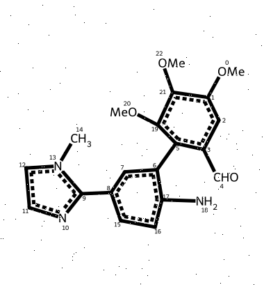 COc1cc(C=O)c(-c2cc(-c3nccn3C)ccc2N)c(OC)c1OC